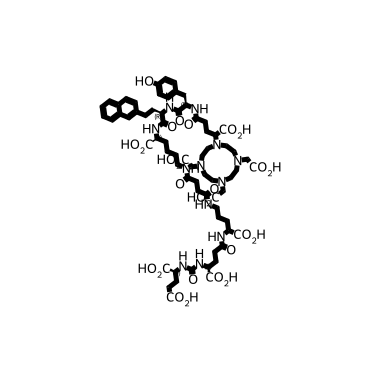 O=C(O)CC[C@H](NC(=O)N[C@@H](CCC(=O)NC(CCCNC(=O)CCC(=O)NCCCC[C@@H](NC(=O)[C@@H](CCc1ccc2ccccc2c1)NC(=O)[C@@H](Cc1ccc(O)cc1)NC(=O)CCC(C(=O)O)N1CCN(CC(=O)O)CCN(CC(=O)O)CCN(CC(=O)O)CC1)C(=O)O)C(=O)O)C(=O)O)C(=O)O